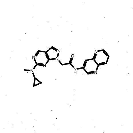 CN(c1ncc2cnn(CC(=O)Nc3cnc4cccnc4c3)c2n1)C1CC1